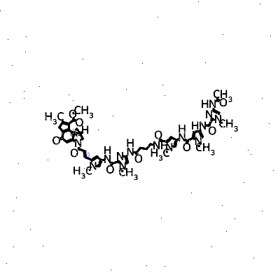 COC(=O)C1=C(C)CC2=C1[C@@]13C[C@@H]1CN(C(=O)/C=C/c1cc(NC(=O)c4nc(NC(=O)CCCNC(=O)c5cc(NC(=O)c6cc(NC(=O)c7nc(NC(C)=O)cn7C)cn6C)cn5C)cn4C)cn1C)C3=CC2=O